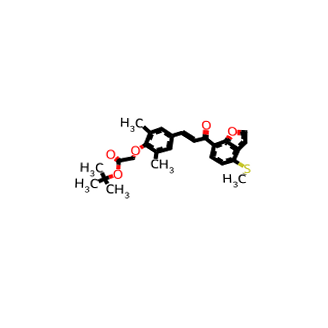 CSc1ccc(C(=O)C=Cc2cc(C)c(OCC(=O)OC(C)(C)C)c(C)c2)c2occc12